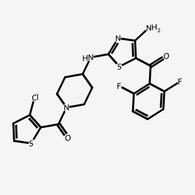 Nc1nc(NC2CCN(C(=O)c3sccc3Cl)CC2)sc1C(=O)c1c(F)cccc1F